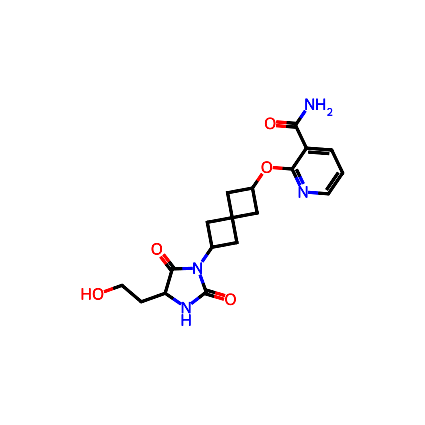 NC(=O)c1cccnc1OC1CC2(C1)CC(N1C(=O)NC(CCO)C1=O)C2